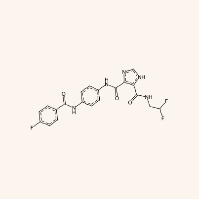 O=C(Nc1ccc(NC(=O)c2nc[nH]c2C(=O)NCC(F)F)cc1)c1ccc(F)cc1